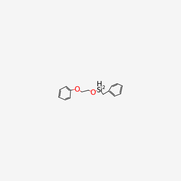 c1ccc(C[SiH2]OCCOc2ccccc2)cc1